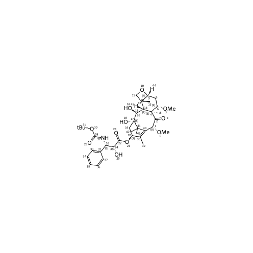 CO[C@H]1C(=O)[C@]2(C)[C@@H](OC)C[C@H]3OC[C@@]3(C)[C@H]2[C@H](O)[C@]2(O)C[C@H](OC(=O)[C@H](O)[C@@H](NC(=O)OC(C)(C)C)c3ccccc3)C(C)=C1C2(C)C